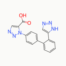 O=C(O)c1cnnn1-c1ccc(-c2ccccc2-c2cnn[nH]2)cc1